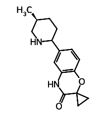 C[C@H]1CCC(c2ccc3c(c2)NC(=O)C2(CC2)O3)NC1